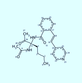 CCCC[C@](NC(C)=O)(NC(=O)c1ccccc1C=Cc1ccncc1)C(C)=O